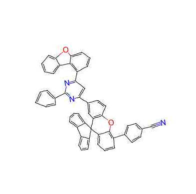 N#Cc1ccc(-c2cccc3c2Oc2ccc(-c4cc(-c5cccc6oc7ccccc7c56)nc(-c5ccccc5)n4)cc2C32c3ccccc3-c3ccccc32)cc1